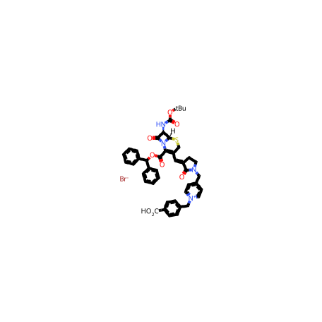 CC(C)(C)OC(=O)N[C@@H]1C(=O)N2C(C(=O)OC(c3ccccc3)c3ccccc3)=C(/C=C3\CCN(Cc4cc[n+](Cc5ccc(C(=O)O)cc5)cc4)C3=O)CS[C@H]12.[Br-]